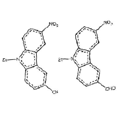 CCn1c2ccc(C#N)cc2c2cc([N+](=O)[O-])ccc21.CCn1c2ccc(C=O)cc2c2cc([N+](=O)[O-])ccc21